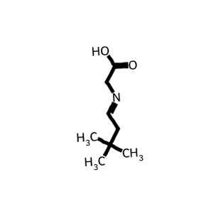 CC(C)(C)C/C=N/CC(=O)O